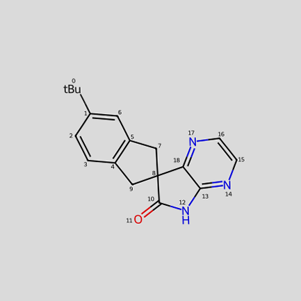 CC(C)(C)c1ccc2c(c1)CC1(C2)C(=O)Nc2nccnc21